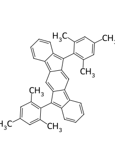 Cc1cc(C)c(C2=c3ccccc3=c3cc4c(cc32)=c2ccccc2=C4c2c(C)cc(C)cc2C)c(C)c1